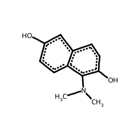 CN(C)c1c(O)ccc2cc(O)ccc12